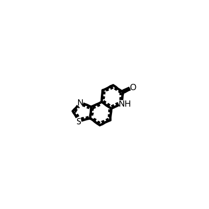 O=c1ccc2c(ccc3scnc32)[nH]1